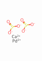 O=S([O-])[O-].O=S([O-])[O-].[Ca+2].[Pd+2]